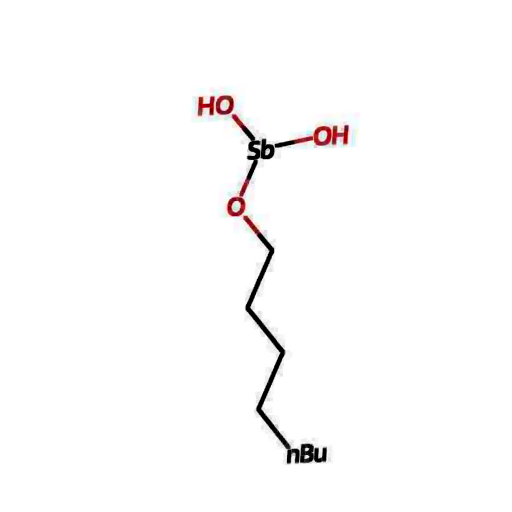 CCCCCCCC[O][Sb]([OH])[OH]